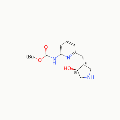 CC(C)(C)OC(=O)Nc1cccc(C[C@@H]2CNC[C@H]2O)n1